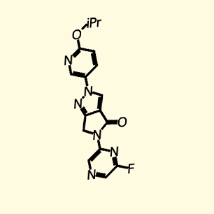 CC(C)Oc1ccc(-n2cc3c(n2)CN(c2cncc(F)n2)C3=O)cn1